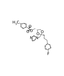 Cc1ccc(S(=O)(=O)OC[C@@H]2CO[C@](CCCc3ccc(F)cc3)(Cn3ccnc3)O2)cc1